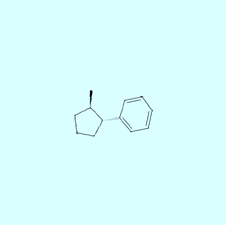 C[C@@H]1CCC[C@H]1c1ccccc1